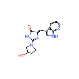 O=C1NC(N2CCC(O)C2)=NC1=Cc1c[nH]c2ncccc12